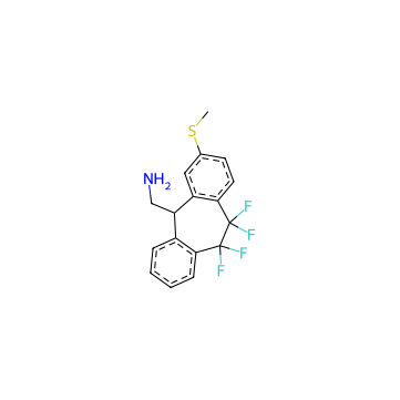 CSc1ccc2c(c1)C(CN)c1ccccc1C(F)(F)C2(F)F